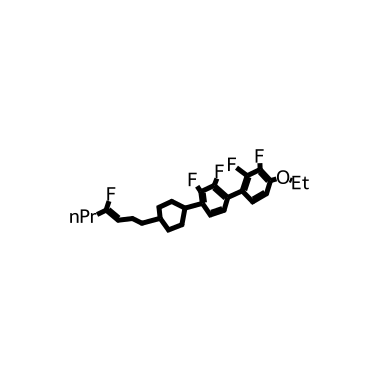 CCC/C(F)=C/CCC1CCC(c2ccc(-c3ccc(OCC)c(F)c3F)c(F)c2F)CC1